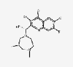 CCC[C@H](c1nc2cc(F)c(Cl)cc2c(=O)n1CC)N1CCN(C)CC(C)C1